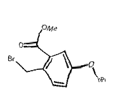 CCCOc1ccc(CBr)c(C(=O)OC)c1